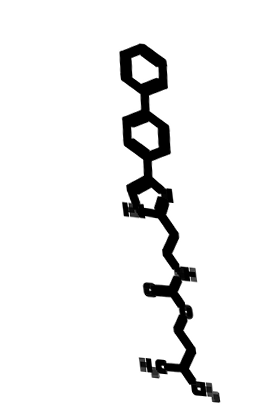 CC(C)CCOC(=O)NCCc1nc(-c2ccc(-c3ccccc3)cc2)c[nH]1